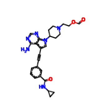 Nc1ncnc2c1c(C#Cc1cccc(C(=O)NC3CC3)c1)cn2C1CCN(CCOC=O)CC1